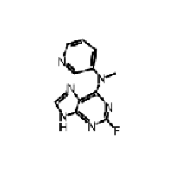 CN(c1cccnc1)c1nc(F)nc2[nH]cnc12